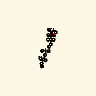 Cc1ccc2c(-c3ccc4ccccc4c3)c3ccccc3c(-c3ccc(-n4c(-c5ccccc5)nc5c(-c6ccc7cc(-c8c9ccccc9c(-c9c%10ccccc%10c(-n%10c(-c%11ccccc%11)nc%11ccccc%11%10)c%10ccccc9%10)c9ccccc89)ccc7c6)cccc54)cc3)c2c1